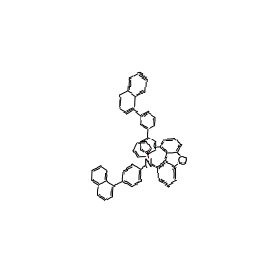 c1ccc(-c2cccc3oc4cccc(N(c5ccc(-c6cccc(-c7cccc8ccccc78)c6)cc5)c5ccc(-c6cccc7ccccc67)cc5)c4c23)cc1